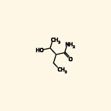 CCC(C(N)=O)C(C)O